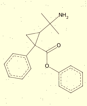 CC(C)(N)C1CC1(C(=O)Oc1ccccc1)c1ccccc1